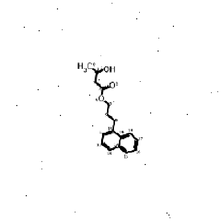 CC(O)CC(=O)OCCCc1cccc2ccccc12